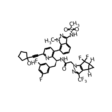 Cn1nc(NS(C)(=O)=O)c2cccc(-c3ccc(C#CC4(O)CCCC4)nc3[C@H](Cc3cc(F)cc(F)c3)NC(=O)Cn3nc(C(F)(F)F)c4c3C(F)(F)[C@@H]3C[C@H]43)c21